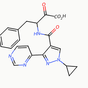 O=C(O)C(=O)C(Cc1ccccc1)NC(=O)c1cn(C2CC2)nc1-c1ccncn1